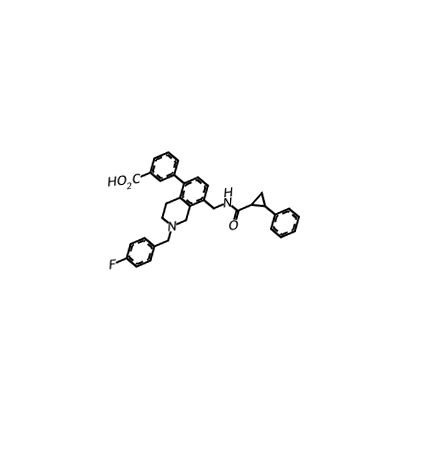 O=C(O)c1cccc(-c2ccc(CNC(=O)C3CC3c3ccccc3)c3c2CCN(Cc2ccc(F)cc2)C3)c1